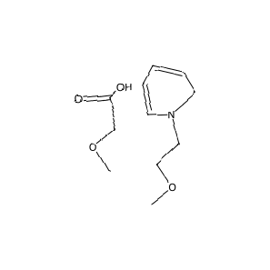 COCC(=O)O.COCCN1C=CC=CC1